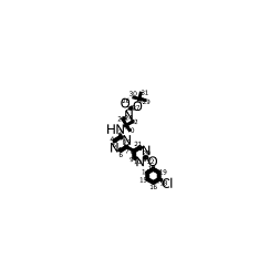 CC1(Nc2cncc(-c3cnc(Oc4cccc(Cl)c4)nc3)n2)CN(C(=O)OC(C)(C)C)C1